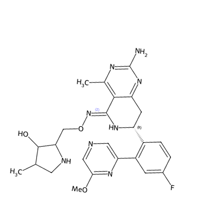 COc1cncc(-c2cc(F)ccc2[C@H]2Cc3nc(N)nc(C)c3/C(=N/OCC3NCC(C)C3O)N2)n1